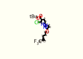 CC(C)(C)OC(=O)c1ccc(-n2ccc(OCCCC3CC3C(F)(F)F)n2)nc1Cl